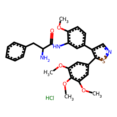 COc1ccc(-c2cnsc2-c2cc(OC)c(OC)c(OC)c2)cc1NC(=O)C(N)Cc1ccccc1.Cl